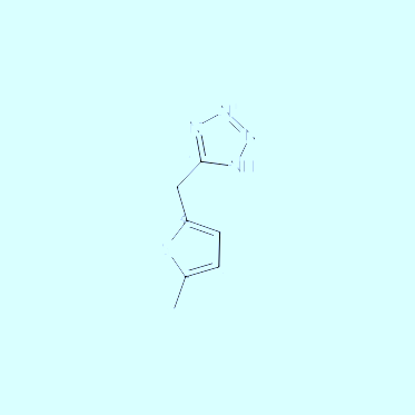 Cc1ccc(Cc2nnn[nH]2)s1